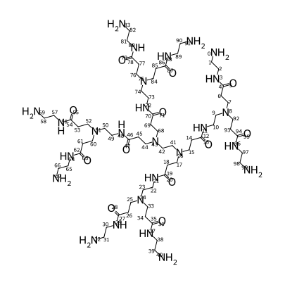 NCCNC(=O)CCN(CCNC(=O)CCN(CCC(=O)NCCN(CCC(=O)NCCN)CCC(=O)NCCN)CCN(CCC(=O)NCCN(CCC(=O)NCCN)CCC(=O)NCCN)CCC(=O)NCCN(CCC(=O)NCCN)CCC(=O)NCCN)CCC(=O)NCCN